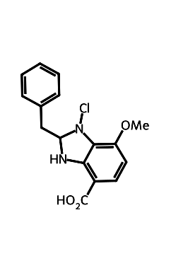 COc1ccc(C(=O)O)c2c1N(Cl)C(Cc1ccccc1)N2